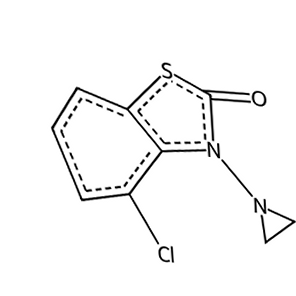 O=c1sc2cccc(Cl)c2n1N1CC1